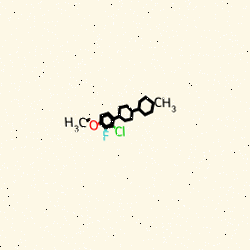 CCOc1ccc(C2CCC(C3CCC(C)CC3)CC2)c(Cl)c1F